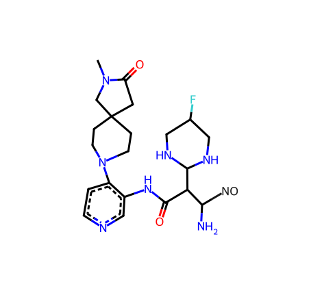 CN1CC2(CCN(c3ccncc3NC(=O)C(C(N)N=O)C3NCC(F)CN3)CC2)CC1=O